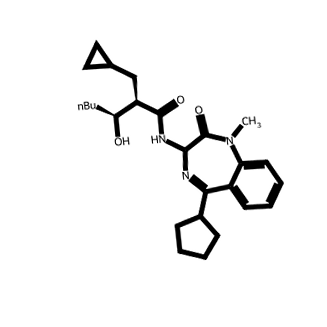 CCCC[C@H](O)[C@@H](CC1CC1)C(=O)NC1N=C(C2CCCC2)c2ccccc2N(C)C1=O